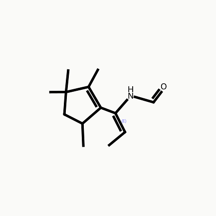 C/C=C(/NC=O)C1=C(C)C(C)(C)CC1C